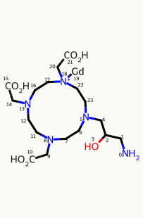 NCC(O)CN1CCN(CC(=O)O)CCN(CC(=O)O)CC[N+]([Gd])(CC(=O)O)CC1